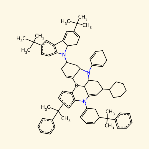 CC(C)(C)C1=CCC2C(=C1)c1cc(C(C)(C)C)ccc1N2C1CC=C2B3c4ccc(C(C)(C)c5ccccc5)cc4N(C4=CC=CC(C(C)(C)c5ccccc5)C4)C4=CC(C5CCCCC5)CC(C34)N(C3=CCCC=C3)C2C1